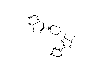 O=C(Cc1ccccc1F)N1CCC(Cn2nc(-n3cccn3)ccc2=O)CC1